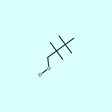 CC(C)(C)C(C)(C)CO[O]